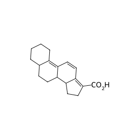 O=C(O)C1=C2C=CC3=C4CCCCC4CCC3C2CC1